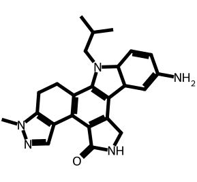 CC(C)CN1c2c3c(c4c(c2C2C=C(N)C=CC21)CNC4=O)-c1cnn(C)c1CC3